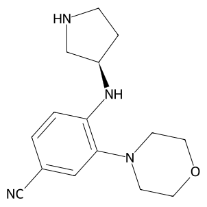 N#Cc1ccc(N[C@@H]2CCNC2)c(N2CCOCC2)c1